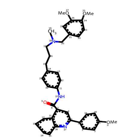 COc1ccc(-c2cc(C(=O)Nc3ccc(CCCN(C)Cc4ccc(OC)c(OC)c4)cc3)c3ccccc3n2)cc1